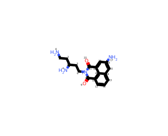 NCCC(N)CCN1C(=O)c2cccc3cc(N)cc(c23)C1=O